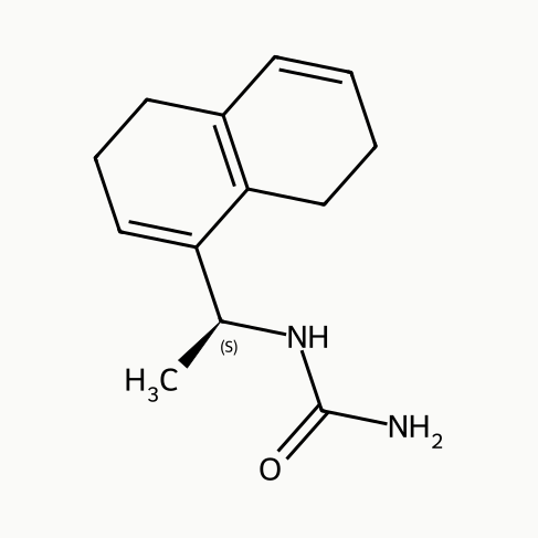 C[C@H](NC(N)=O)C1=CCCC2=C1CCC=C2